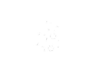 O=C(O)CNC(=O)c1ccc(O)cc1.O=C(O)CNC(=O)c1cccc(O)c1.O=C[C@H](O)[C@@H](O)[C@H](O)[C@H](O)CO